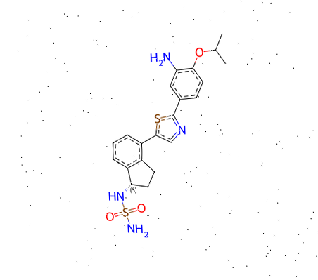 CC(C)Oc1ccc(-c2ncc(-c3cccc4c3CC[C@@H]4NS(N)(=O)=O)s2)cc1N